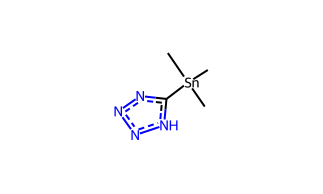 [CH3][Sn]([CH3])([CH3])[c]1nnn[nH]1